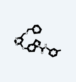 Cc1cccc(NC(=O)n2ccc3cc(Oc4cc(COCc5ccccc5)ncn4)ccc32)c1